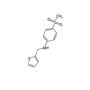 CS(=O)(=O)c1ccc(NCc2cccs2)cc1